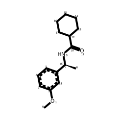 COc1cccc([C@H](C)NC(=O)C2CCCCC2)c1